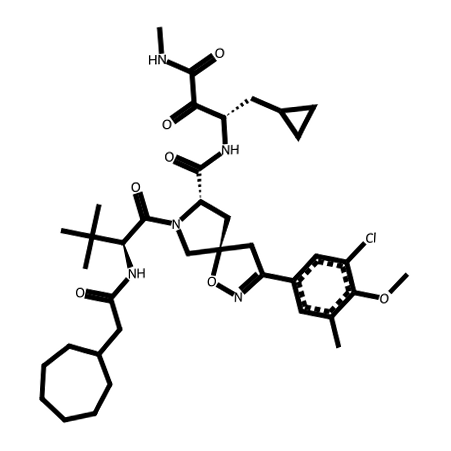 CNC(=O)C(=O)[C@H](CC1CC1)NC(=O)[C@@H]1C[C@]2(CC(c3cc(C)c(OC)c(Cl)c3)=NO2)CN1C(=O)[C@@H](NC(=O)CC1CCCCCC1)C(C)(C)C